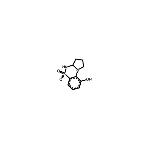 O=S1(=O)NC2CCCN2c2c(O)cccc21